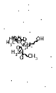 CCCC(=O)N(C)[C@@H](CSCCCCCO)C(=O)N(C)[C@@H](CC(C)(C)O)C(N)=O